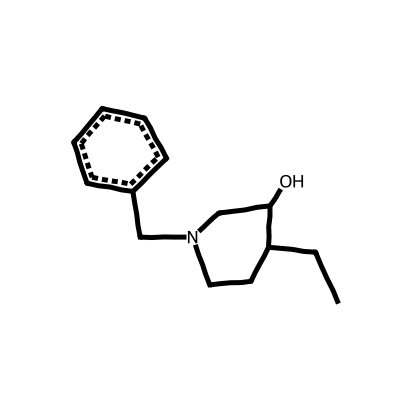 CCC1CCN(Cc2ccccc2)CC1O